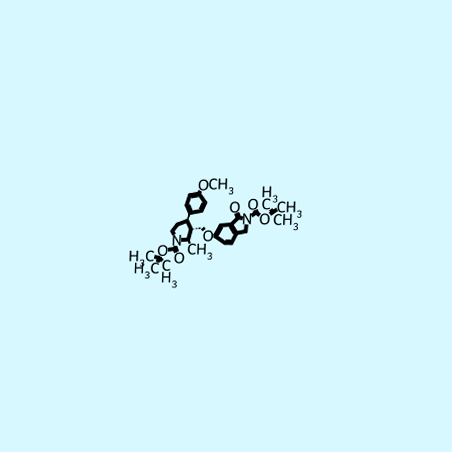 COc1ccc([C@@H]2CCN(C(=O)OC(C)(C)C)[C@H](C)[C@H]2COc2ccc3c(c2)C(=O)N(C(=O)OC(C)(C)C)C3)cc1